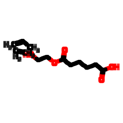 C=C.C=CC.O=C(O)CCCCC(=O)OCCO